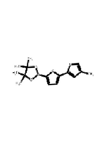 Cc1csc(-c2ccc(B3OC(C)(C)C(C)(C)O3)s2)c1